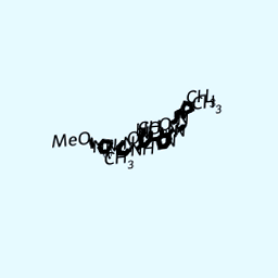 COCCN1CCN(c2ccc(Nc3cc(-c4ccnc(-n5ncn6c7c(cc6c5=O)CC(C)(C)C7)c4CO)cn(C)c3=O)nc2)[C@@H](C)C1